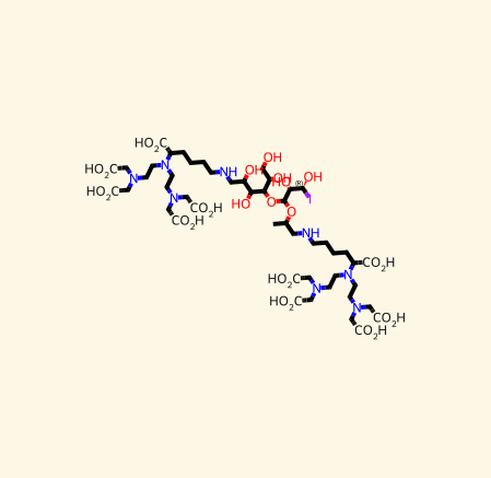 CC(CNCCCCC(C(=O)O)N(CCN(CC(=O)O)CC(=O)O)CCN(CC(=O)O)CC(=O)O)OC(OC(C(O)CO)C(O)C(O)CNCCCCC(C(=O)O)N(CCN(CC(=O)O)CC(=O)O)CCN(CC(=O)O)CC(=O)O)C(O)[C@H](O)I